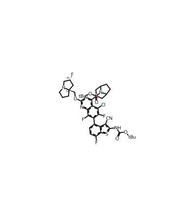 CC(C)(C)OC(=O)Nc1sc2c(F)ccc(-c3c(F)c(Cl)c4c(N5CC6CCC(C5)N6C(=O)OC(C)(C)C)nc(OC[C@@]56CCCN5C[C@H](F)C6)nc4c3F)c2c1C#N